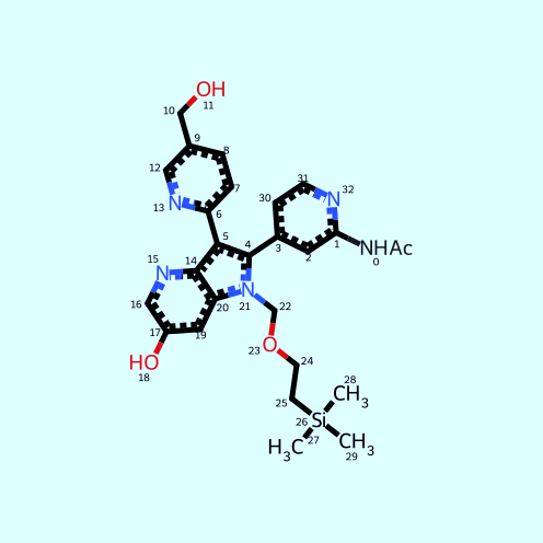 CC(=O)Nc1cc(-c2c(-c3ccc(CO)cn3)c3ncc(O)cc3n2COCC[Si](C)(C)C)ccn1